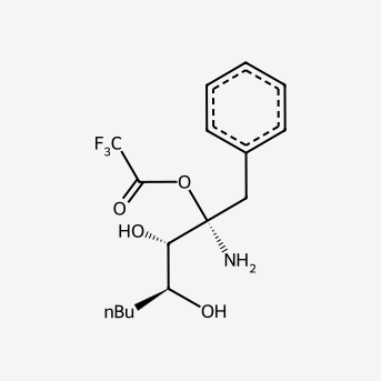 CCCC[C@H](O)[C@H](O)[C@](N)(Cc1ccccc1)OC(=O)C(F)(F)F